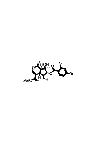 COC(=O)C1=COC(=O)[C@H]2[C@@H]1[C@H](O)[C@H](OC(=O)c1ccc(Br)cc1Br)[C@]2(C)O